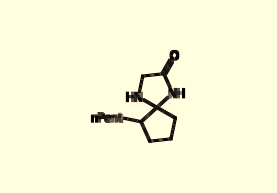 CCCCCC1CCCC12NCC(=O)N2